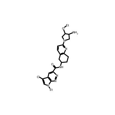 CCOC1CN(c2ccc3c(n2)CCC(NC(=O)c2cc4c(Cl)cn(CC)c4nn2)C3)CC1N